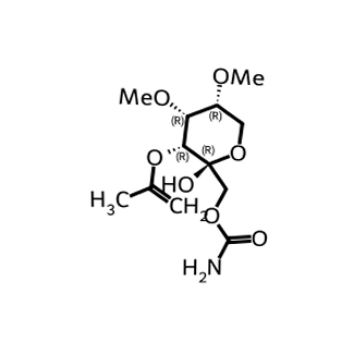 C=C(C)O[C@@H]1[C@H](OC)[C@H](OC)CO[C@]1(O)COC(N)=O